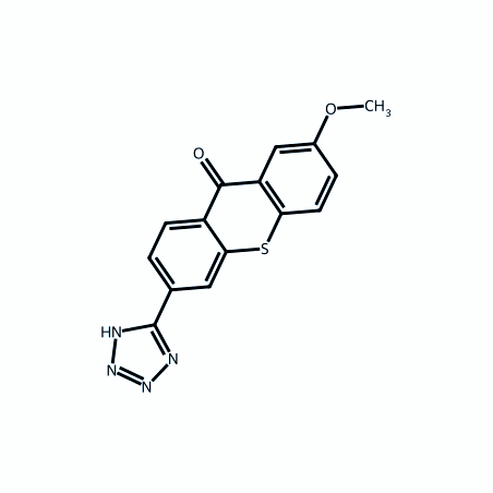 COc1ccc2sc3cc(-c4nnn[nH]4)ccc3c(=O)c2c1